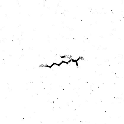 CC(=O)O.CCCCCCCCCCCCC/C=C(\C)N